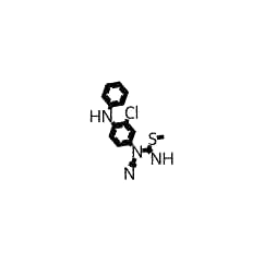 CSC(=N)N(C#N)c1ccc(Nc2ccccc2)c(Cl)c1